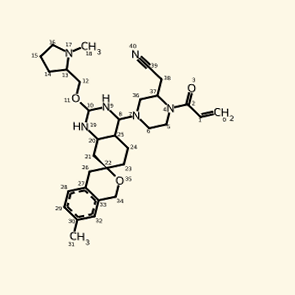 C=CC(=O)N1CCN(C2NC(OCC3CCCN3C)NC3C[C@]4(CCC32)Cc2ccc(C)cc2CO4)CC1CC#N